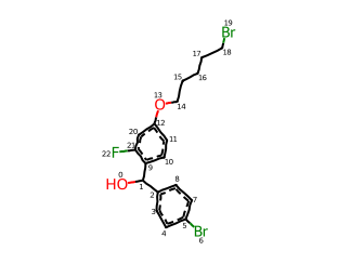 OC(c1ccc(Br)cc1)c1ccc(OCCCCCBr)cc1F